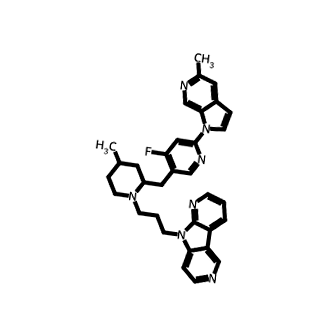 Cc1cc2ccn(-c3cc(F)c(CC4CC(C)CCN4CCCn4c5ccncc5c5cccnc54)cn3)c2cn1